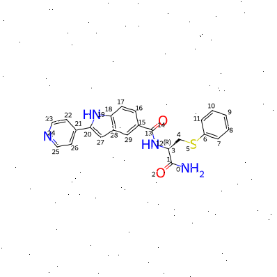 NC(=O)[C@H](CSc1ccccc1)NC(=O)c1ccc2[nH]c(-c3ccncc3)cc2c1